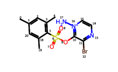 Cc1cc(C)c(S(=O)(=O)Oc2c(Br)ncc[n+]2N)c(C)c1